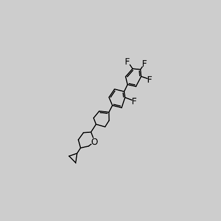 Fc1cc(C2=CCC(C3CCC(C4CC4)CO3)CC2)ccc1-c1cc(F)c(F)c(F)c1